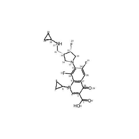 O=C(O)c1cn(C2CC2)c2c(F)c(N3C[C@H](CNC4CC4)[C@H](F)C3)c(F)cc2c1=O